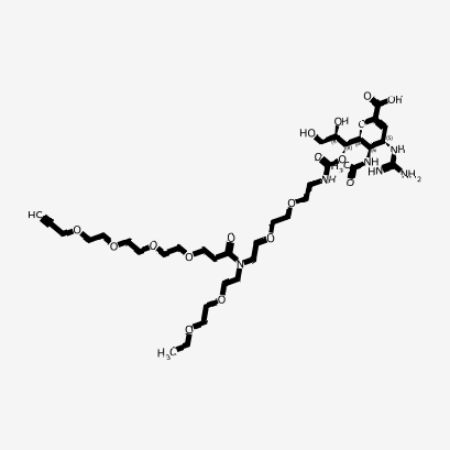 C#CCOCCOCCOCCOCCC(=O)N(CCOCCOCC)CCOCCOCCNC(=O)O[C@@H]([C@@H]1OC(C(=O)O)=C[C@H](NC(=N)N)[C@H]1NC(C)=O)[C@H](O)CO